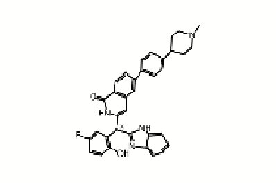 CN1CCC(c2ccc(-c3ccc4c(=O)[nH]c([C@@H](c5nc6ccccc6[nH]5)c5cc(F)ccc5O)cc4c3)cc2)CC1